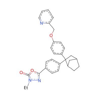 CCn1nc(-c2ccc(C3(c4ccc(OCc5ccccn5)cc4)CC4CCC3C4)cc2)oc1=O